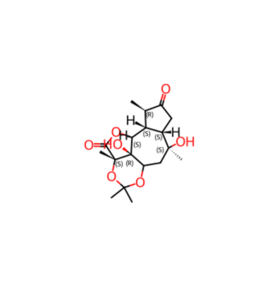 C[C@H]1C(=O)C[C@H]2[C@@H]1[C@@H]1OC(=O)[C@@]3(C)OC(C)(C)OC(C[C@]2(C)O)[C@@]13O